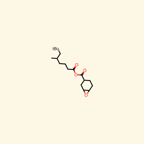 CC(CCCC(=O)OC(=O)C1CCC2OC2C1)CC(C)(C)C